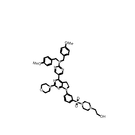 COc1ccc(CN(Cc2ccc(OC)cc2)c2ncc(-c3nc(N4CCOCC4)nc4c3CCN4c3cccc(S(=O)(=O)N4CCN(CCO)CC4)c3)cn2)cc1